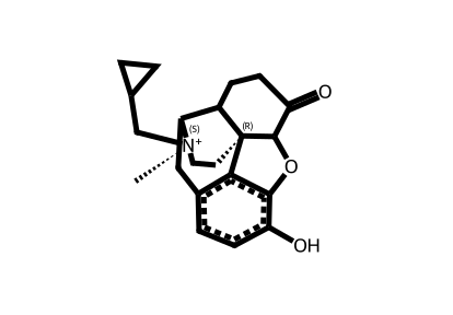 C[N@@+]1(CC2CC2)CC[C@@]23c4c5ccc(O)c4OC2C(=O)CCC3C1C5